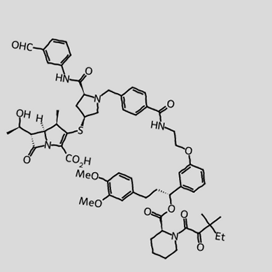 CCC(C)(C)C(=O)C(=O)N1CCCC[C@H]1C(=O)O[C@H](CCc1ccc(OC)c(OC)c1)c1cccc(OCCNC(=O)c2ccc(CN3C[C@@H](SC4=C(C(=O)O)N5C(=O)[C@H]([C@@H](C)O)[C@H]5[C@H]4C)C[C@H]3C(=O)Nc3cccc(C=O)c3)cc2)c1